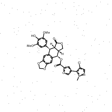 COc1cc([C@@H]2c3cc4c(cc3[C@H](OC(=O)c3cc(-c5c(Cl)cnn5C)co3)[C@H]3COC(=O)[C@@H]23)OCO4)cc(OC)c1O